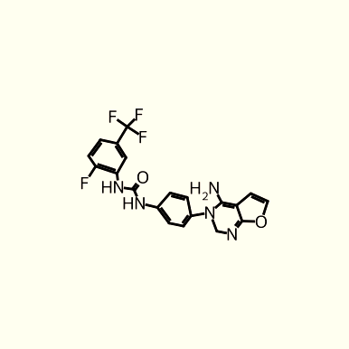 NC1=c2ccoc2=NCN1c1ccc(NC(=O)Nc2cc(C(F)(F)F)ccc2F)cc1